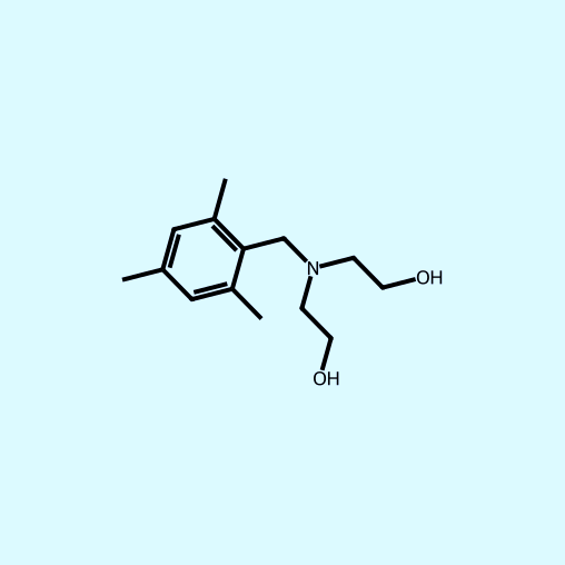 Cc1cc(C)c(CN(CCO)CCO)c(C)c1